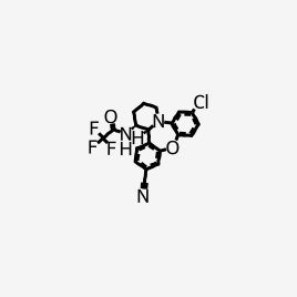 N#Cc1ccc2c(c1)Oc1ccc(Cl)cc1N1CCC[C@H](NC(=O)C(F)(F)F)[C@@H]21